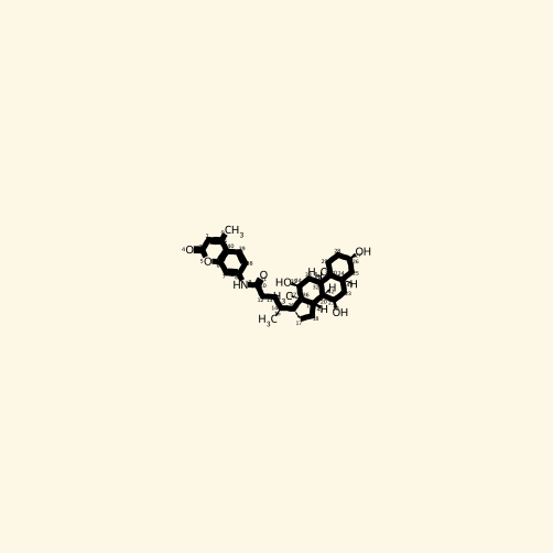 Cc1cc(=O)oc2cc(NC(=O)CC[C@@H](C)[C@H]3CC[C@H]4[C@@H]5[C@H](O)C[C@@H]6C[C@H](O)CC[C@]6(C)[C@H]5C[C@H](O)[C@]34C)ccc12